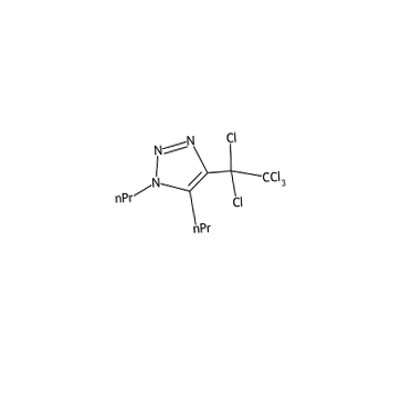 CCCc1c(C(Cl)(Cl)C(Cl)(Cl)Cl)nnn1CCC